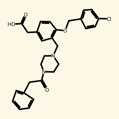 O=C(O)Cc1ccc(OCc2ccc(Cl)cc2)c(CN2CCN(C(=O)Cc3ccccc3)CC2)c1